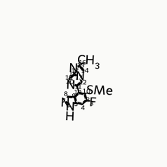 CSc1c(F)cc2[nH]ncc2c1-c1cn2cc(C)nc2cn1